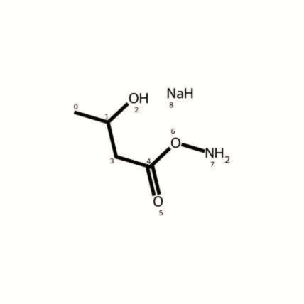 CC(O)CC(=O)ON.[NaH]